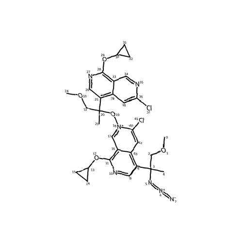 COCC(C)(N=[N+]=[N-])c1cnc(OC2CC2)c2c[n+](OC(C)(COC)c3cnc(OC4CC4)c4cnc(Cl)cc34)c(Cl)cc12